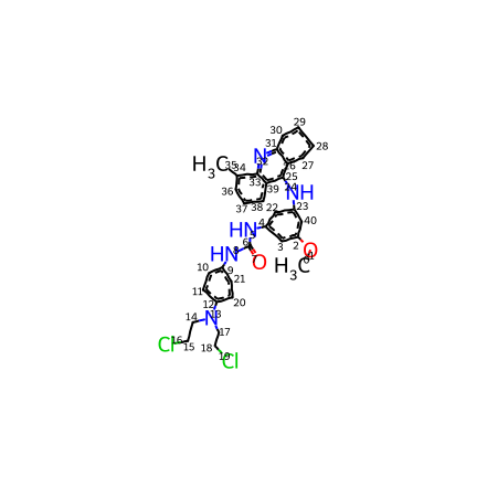 COc1cc(NC(=O)Nc2ccc(N(CCCl)CCCl)cc2)cc(Nc2c3ccccc3nc3c(C)cccc23)c1